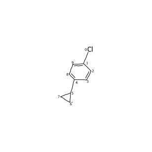 Clc1ccc(C2[CH]C2)cc1